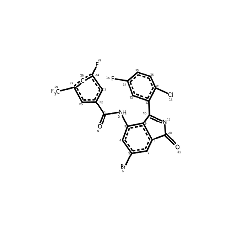 O=C(Nc1cc(Br)cc2c1C(c1cc(F)ccc1Cl)=NC2=O)c1cc(F)cc(C(F)(F)F)c1